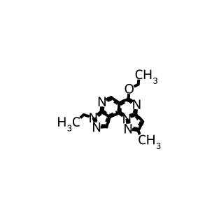 CCOc1nc2cc(C)nn2c2c1cnc1c2cnn1CC